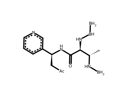 BBN[C@H](C(=O)N[C@@H](CC(C)=O)c1cccnc1)[C@H](C)NB